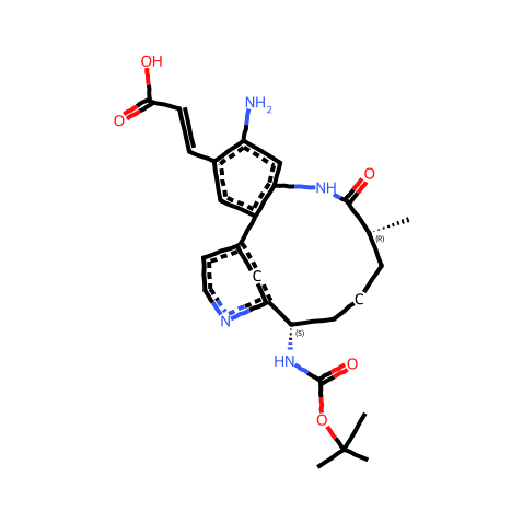 C[C@@H]1CCC[C@H](NC(=O)OC(C)(C)C)c2cc(ccn2)-c2cc(C=CC(=O)O)c(N)cc2NC1=O